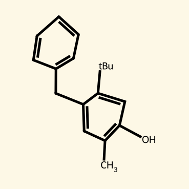 Cc1cc(Cc2ccccc2)c(C(C)(C)C)cc1O